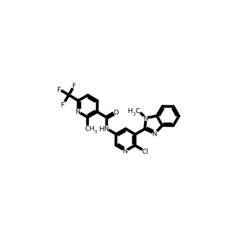 Cc1nc(C(F)(F)F)ccc1C(=O)Nc1cnc(Cl)c(-c2nc3ccccc3n2C)c1